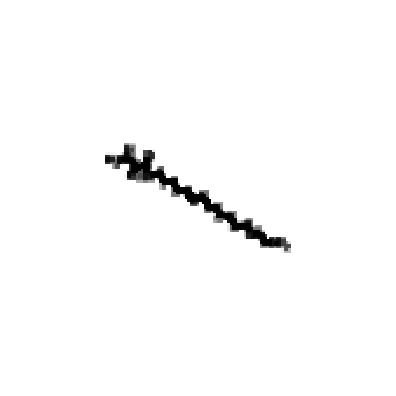 CNC(=O)C(=O)NCCCCC=CCCCCCCCOCCN